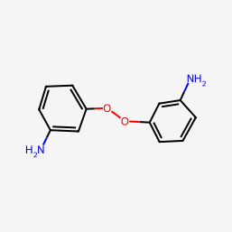 Nc1cccc(OOc2cccc(N)c2)c1